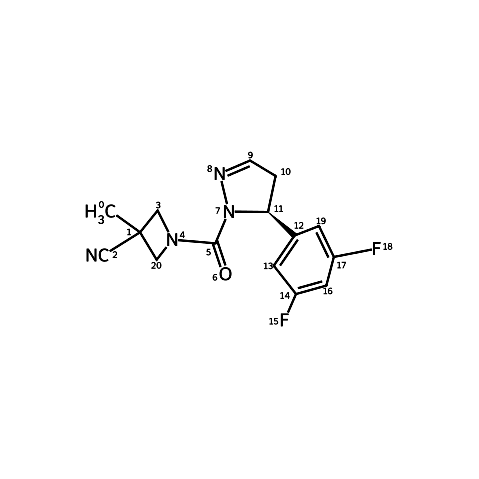 CC1(C#N)CN(C(=O)N2N=CC[C@H]2c2cc(F)cc(F)c2)C1